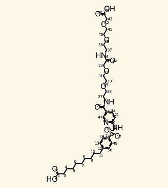 O=C(O)CCCCCCCCCc1ccc(S(=O)(=O)Nc2ccc(C(=O)NCCOCCOCC(=O)NCCOCCOCC(=O)O)cn2)cc1